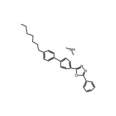 CCCCCCCc1ccc(-c2ccc(-c3nnc(-c4ccccc4)o3)cc2)cc1.CNC